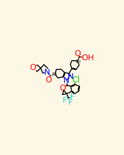 O=C(O)[C@H]1CC=C(c2nn(C(=O)c3c(Cl)cccc3C3(C(F)(F)F)CC3)c3c2CC[C@@H](C(=O)N2CCC4(COC4)C2)C3)CC1